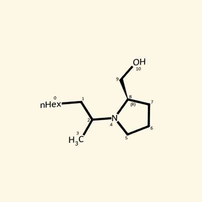 CCCCCCCC(C)N1CCC[C@@H]1CO